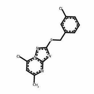 Cc1cc(Cl)n2nc(SCc3cccc(Cl)c3)nc2n1